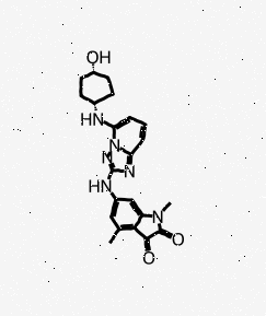 Cc1cc(Nc2nc3cccc(N[C@H]4CC[C@@H](O)CC4)n3n2)cc2c1C(=O)C(=O)N2C